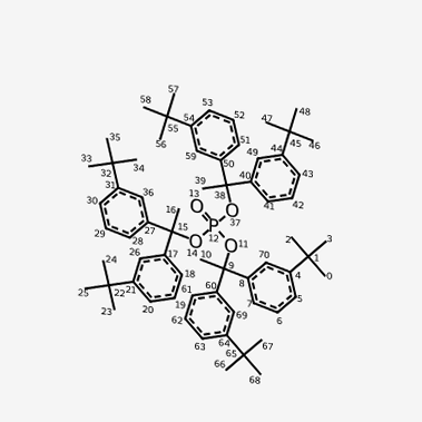 CC(C)(C)c1cccc(C(C)(OP(=O)(OC(C)(c2cccc(C(C)(C)C)c2)c2cccc(C(C)(C)C)c2)OC(C)(c2cccc(C(C)(C)C)c2)c2cccc(C(C)(C)C)c2)c2cccc(C(C)(C)C)c2)c1